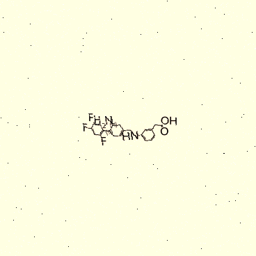 N[C@@H]1CC(CNc2cccc(CC(=O)O)c2)=CC[C@H]1c1cc(F)c(F)cc1F